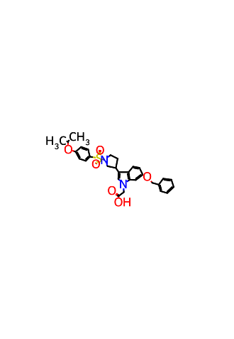 CC(C)Oc1ccc(S(=O)(=O)N2CCC(c3cn(CC(=O)O)c4cc(OCc5ccccc5)ccc34)C2)cc1